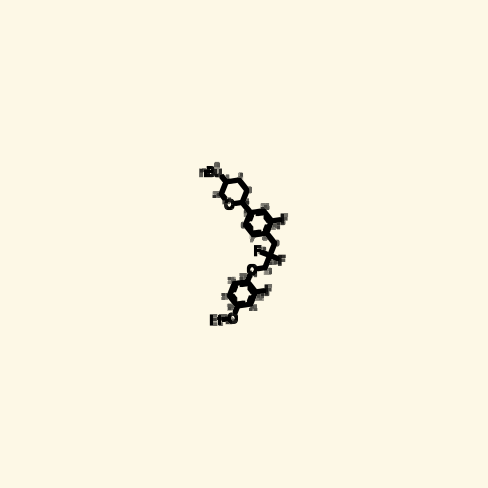 CCCCC1CCC(c2ccc(CC(F)(F)COc3ccc(OCC)cc3F)c(F)c2)OC1